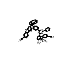 CC1(C)c2cc(C#N)ccc2-c2c(-c3nc(-c4ccccc4)nc(-c4ccc(C5(c6ccc7c(c6)sc6cc(C#N)ccc67)C6CC7CC(C6)CC5C7)cc4)n3)cccc21